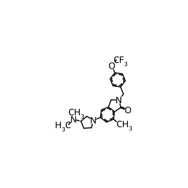 Cc1cc(N2CC[C@@H](N(C)C)C2)cc2c1C(=O)N(Cc1ccc(OC(F)(F)F)cc1)C2